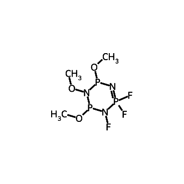 CON1P(OC)N=P(F)(F)N(F)P1OC